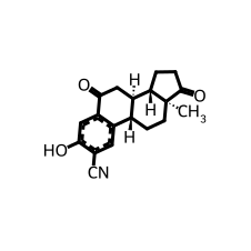 C[C@]12CC[C@@H]3c4cc(C#N)c(O)cc4C(=O)C[C@H]3[C@@H]1CCC2=O